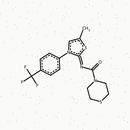 Cc1cn(-c2ccc(C(F)(F)F)cc2)c(=NC(=O)N2CCSCC2)s1